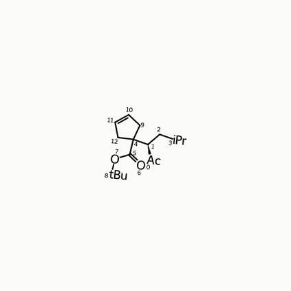 CC(=O)[C@H](CC(C)C)C1(C(=O)OC(C)(C)C)CC=CC1